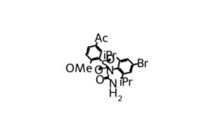 COc1ccc(C(C)=O)cc1S(=O)(=O)N(C(N)=O)c1c(C(C)C)cc(Br)cc1C(C)C